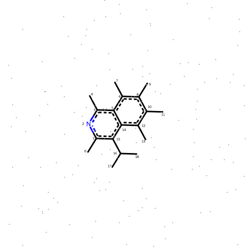 Cc1nc(C)c2c(C)c(C)c(C)c(C)c2c1C(C)C